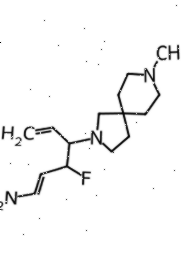 C=CC(C(F)/C=C/N)N1CCC2(CCN(C)CC2)C1